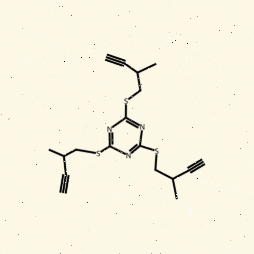 C#CC(C)CSc1nc(SCC(C)C#C)nc(SCC(C)C#C)n1